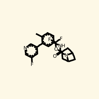 Cc1ccc(NC(=O)N2C3CC(OC(F)F)CC2C3)cc1-c1cncc(F)c1